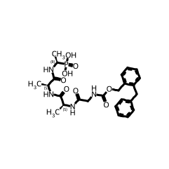 C[C@H](NC(=O)CNC(=O)OCc1ccccc1Cc1ccccc1)C(=O)N[C@@H](C)C(=O)N[C@@H](C)P(=O)(O)O